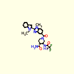 CCn1c(-c2nc3cc(C(=O)N4CC[C@@H](C(N)=O)[C@@H](NC(=O)C(F)(F)I)C4)ccc3n2C)cc2ccccc21